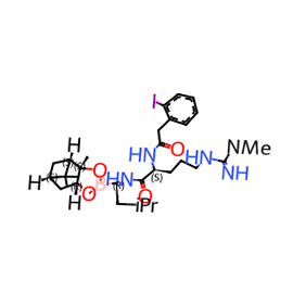 CNC(=N)NCCC[C@H](NC(=O)Cc1ccccc1I)C(=O)N[C@@H](CC(C)C)B1O[C@@H]2C[C@@H]3C[C@@H](C3(C)C)[C@]2(C)O1